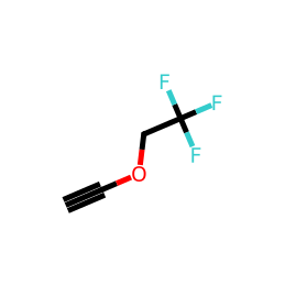 C#COCC(F)(F)F